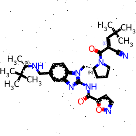 C[C@H](NCc1ccc2c(c1)nc(NC(=O)c1ccno1)n2C[C@H]1CCCN1C(=O)/C(C#N)=C/C(C)(C)C)C(C)(C)C